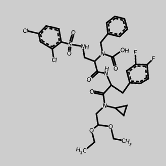 CCOC(CN(C(=O)C(Cc1ccc(F)c(F)c1)NC(=O)C(CNS(=O)(=O)c1ccc(Cl)cc1Cl)N(Cc1ccccc1)C(=O)O)C1CC1)OCC